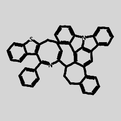 C1=C(C2CCc3ccccc3-c3cc4c5ccccc5n5c6ccccc6c(c32)c45)\N=C(\c2ccccc2)c2c(sc3ccccc23)CC/1